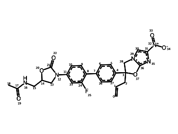 C=CCC1(c2ccc(-c3ccc(N4CC(CNC(C)=O)OC4=O)cc3F)cc2)Cn2cc([N+](=O)[O-])nc2O1